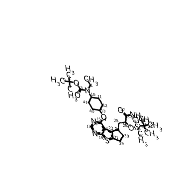 CCN(C(=O)OC(C)(C)C)C1CCC(Oc2ncnc3sc4c(c23)[C@@H](C[C@H](O[Si](C)(C)C(C)(C)C)C(N)=O)CC4)CC1